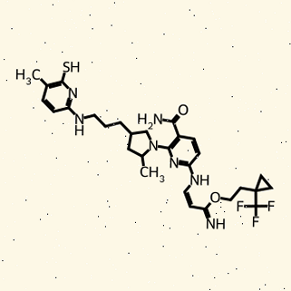 Cc1ccc(NCCCC2CC(C)N(c3nc(N/C=C\C(=N)OCCC4(C(F)(F)F)CC4)ccc3C(N)=O)C2)nc1S